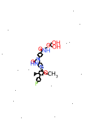 CCOc1cc(-c2ccc(F)cc2)c(C2CC2)cc1CN1CCC2(CC1)CN(c1ccc(C(=O)NCCOC(CO)CO)cc1)CC(=O)N2